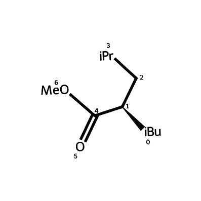 CCC(C)[C@H](CC(C)C)C(=O)OC